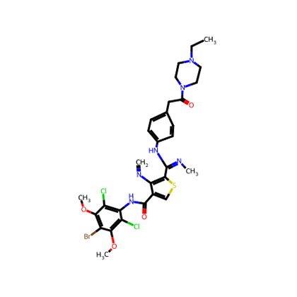 C=Nc1c(C(=O)Nc2c(Cl)c(OC)c(Br)c(OC)c2Cl)csc1/C(=N\C)Nc1ccc(CC(=O)N2CCN(CC)CC2)cc1